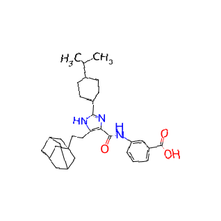 CC(C)C1CCC(c2nc(C(=O)Nc3cccc(C(=O)O)c3)c(CCC34CC5CC(CC(C5)C3)C4)[nH]2)CC1